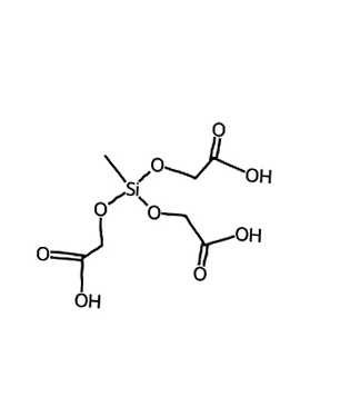 C[Si](OCC(=O)O)(OCC(=O)O)OCC(=O)O